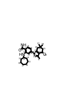 Cc1nn(-c2ccc(C(N)=O)c(NC3CCCCCC3)c2)c2c1C(=O)CC(C)(C)C2